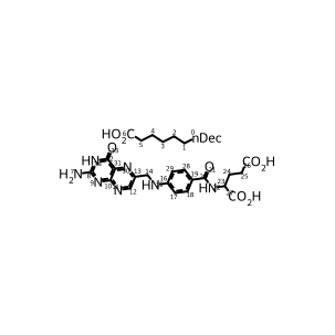 CCCCCCCCCCCCCCCC(=O)O.Nc1nc2ncc(CNc3ccc(C(=O)NC(CCC(=O)O)C(=O)O)cc3)nc2c(=O)[nH]1